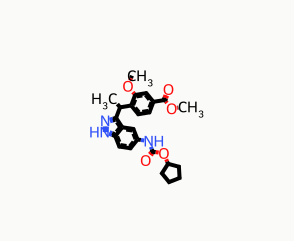 COC(=O)c1ccc(C(C)c2n[nH]c3ccc(NC(=O)OC4CCCC4)cc23)c(OC)c1